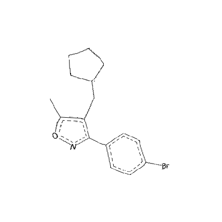 Cc1onc(-c2ccc(Br)cc2)c1C[C]1CCCC1